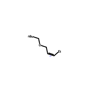 CC/C=C\COCCCCC